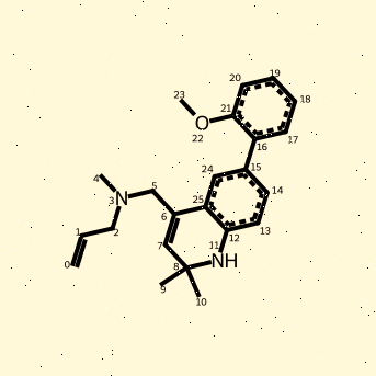 C=CCN(C)CC1=CC(C)(C)Nc2ccc(-c3ccccc3OC)cc21